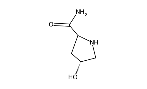 NC(=O)C1C[C@@H](O)CN1